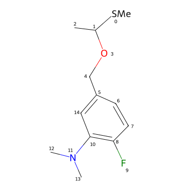 CSC(C)OCc1ccc(F)c(N(C)C)c1